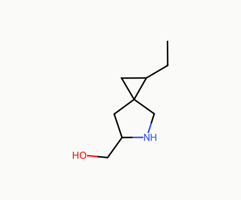 CCC1CC12CNC(CO)C2